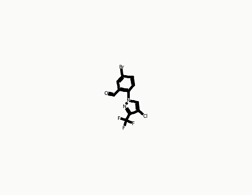 O=Cc1cc(Br)ccc1-n1cc(Cl)c(C(F)(F)F)n1